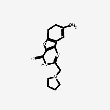 BC1=Cc2c(oc3c(=O)[nH]c(CN4CCCC4)nc23)CC1